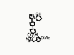 COc1ccc(Cn2nnc(C(=O)O)c2O[C@H]2CC[C@H](c3ccc(-c4ccnn4[C@H]4CCCC[C@@H]4O)cc3)CC2)cc1